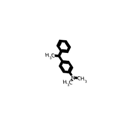 C[C](c1ccccc1)c1ccc(N(C)C)cc1